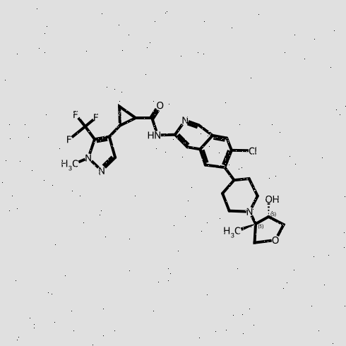 Cn1ncc(C2CC2C(=O)Nc2cc3cc(C4CCN([C@@]5(C)COC[C@H]5O)CC4)c(Cl)cc3cn2)c1C(F)(F)F